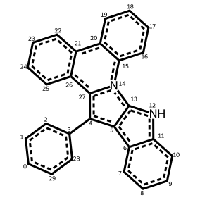 c1ccc(-c2c3c4ccccc4[nH]c3n3c4ccccc4c4ccccc4c23)cc1